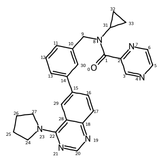 O=C(c1cnccn1)N(Cc1cccc(-c2ccc3ncnc(N4CCCC4)c3c2)c1)C1CC1